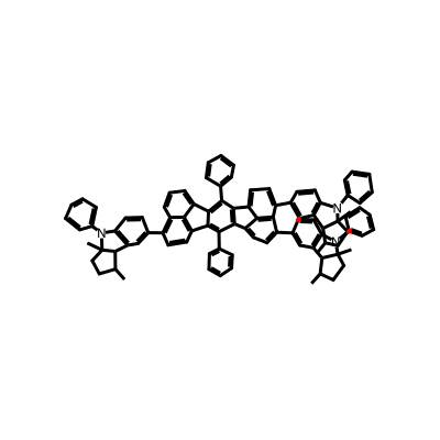 CC1CCC2(C)C1c1cc(-c3ccc4c5c(-c6ccccc6)c6c7ccc(-c8ccc9c(c8)C8C(C)CCC8(C)N9c8ccccc8)c8c(-c9ccc%10c(c9)C9C(C)CCC9(C)N%10c9ccccc9)ccc(c6c(-c6ccccc6)c5c5cccc3c54)c87)ccc1N2c1ccccc1